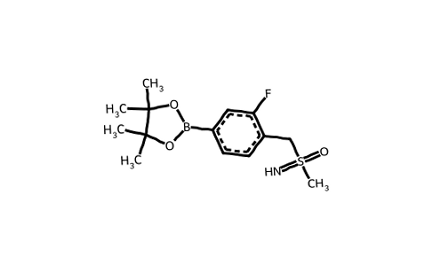 CC1(C)OB(c2ccc(CS(C)(=N)=O)c(F)c2)OC1(C)C